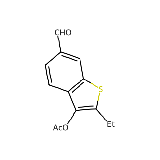 CCc1sc2cc(C=O)ccc2c1OC(C)=O